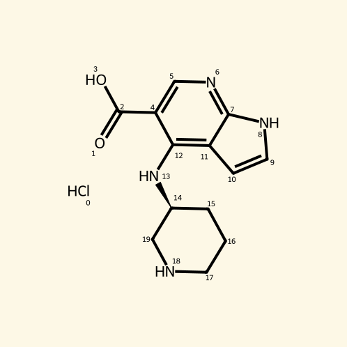 Cl.O=C(O)c1cnc2[nH]ccc2c1N[C@H]1CCCNC1